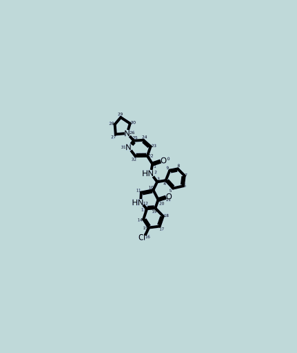 O=C(NC(c1ccccc1)c1c[nH]c2cc(Cl)ccc2c1=O)c1ccc(N2CCCC2)nc1